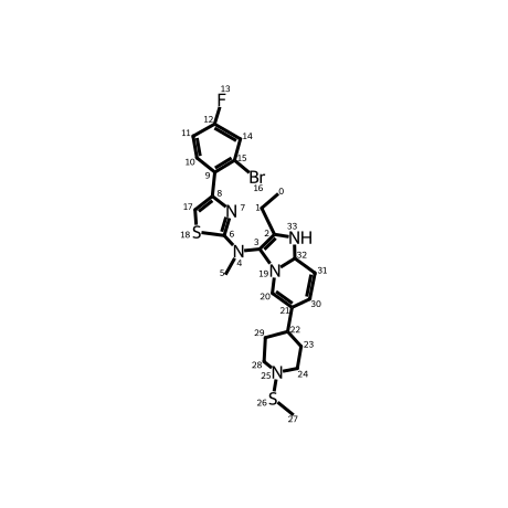 CCC1=C(N(C)c2nc(-c3ccc(F)cc3Br)cs2)N2C=C(C3CCN(SC)CC3)C=CC2N1